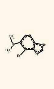 CCc1c(N(C)C)ccc2[nH][c]nc12